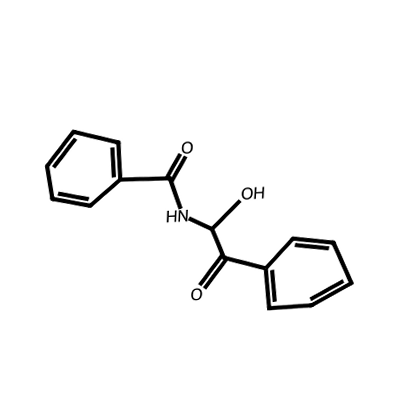 O=C(NC(O)C(=O)c1ccccc1)c1ccccc1